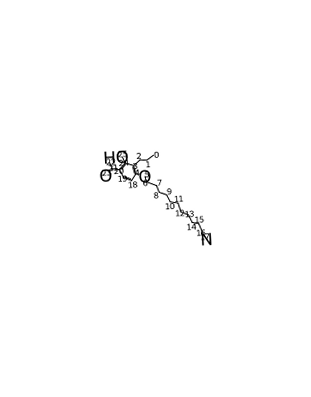 CCCc1c(OCCCCCCCCCCC#N)ccc(C(C)=O)c1O